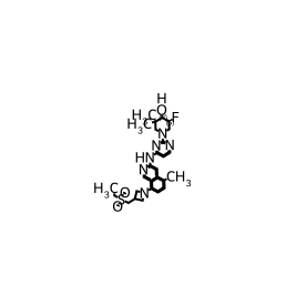 CCS(=O)(=O)CC1CN(c2ccc(C)c3cc(Nc4ccnc(N5C[C@H](F)[C@H](O)C(C)(C)C5)n4)ncc23)C1